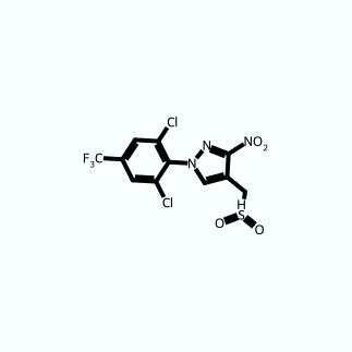 O=[N+]([O-])c1nn(-c2c(Cl)cc(C(F)(F)F)cc2Cl)cc1C[SH](=O)=O